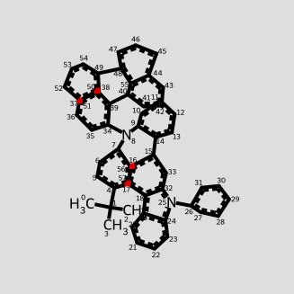 CC(C)(C)c1ccc(N(c2ccccc2-c2ccc3c4ccccc4n(-c4ccccc4)c3c2)c2ccccc2-c2cccc3cccc(-c4ccccc4)c23)cc1